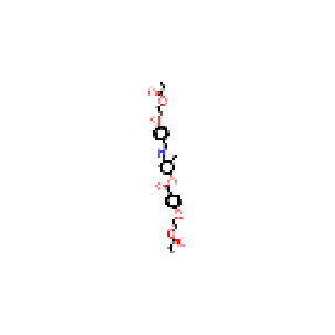 C=CC(=O)OCCOc1ccc(/C=N/c2ccc(OC(=O)c3ccc(OCCOC(=O)C=C)cc3)cc2C)cc1